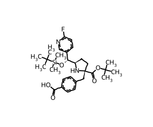 CC(C)(C)OC(=O)[C@@]1(Cc2ccc(C(=O)O)cc2)CC[C@H]([C@H](O[Si](C)(C)C(C)(C)C)c2ccc(F)nc2)N1